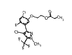 CCC(=O)OCCOc1cc(-c2nn(C)c(C(F)(F)F)c2Cl)c(F)cc1Cl